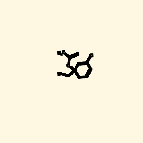 CC(=O)OC1(CBr)C=C(Cl)C=CC1